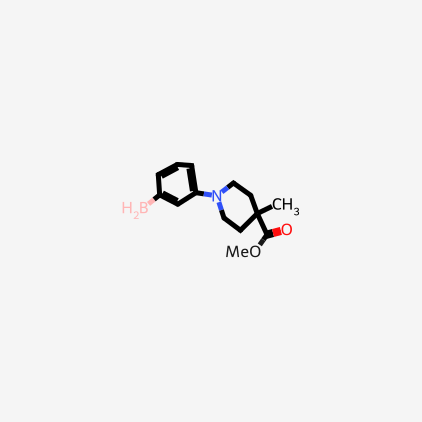 Bc1cccc(N2CCC(C)(C(=O)OC)CC2)c1